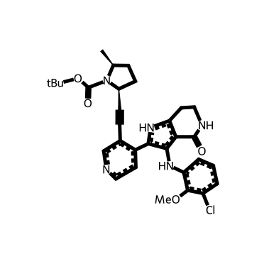 COc1c(Cl)cccc1Nc1c(-c2ccncc2C#C[C@@H]2CC[C@H](C)N2C(=O)OC(C)(C)C)[nH]c2c1C(=O)NCC2